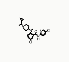 CC(C1CC1)N1CCC(N(C)c2ccc(Cl)cc2C(=O)Nc2ccc(Cl)cn2)CC1